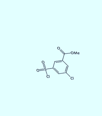 COC(=O)c1cc(Cl)cc(S(=O)(=O)Cl)c1